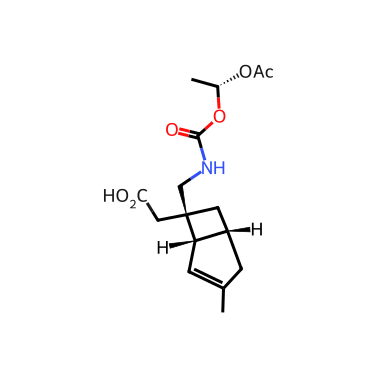 CC(=O)O[C@@H](C)OC(=O)NC[C@@]1(CC(=O)O)C[C@@H]2CC(C)=C[C@@H]21